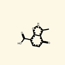 Cc1[nH]oc2c(C(=O)O)ccc(=O)c1-2